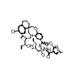 C=CC[C@H](C)[C@@H](C)S(=O)(=NC(=O)c1ccc2c(c1)N(C[C@@H]1CC[C@H]1[C@@H](O)C=C)C[C@@]1(CCCc3cc(Cl)ccc31)CO2)NC(=O)c1cn(C)nc1OC